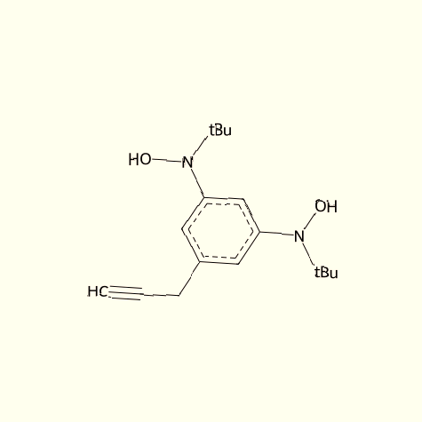 C#CCc1cc(N(O)C(C)(C)C)cc(N(O)C(C)(C)C)c1